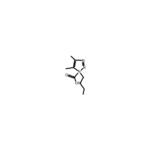 CCCC[N+]1(C(=O)O)N=NC(C)=C1C